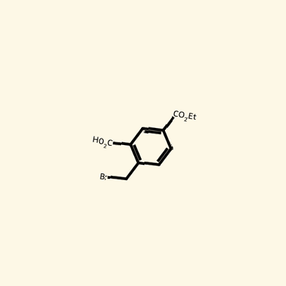 CCOC(=O)c1ccc(CBr)c(C(=O)O)c1